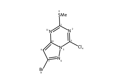 CSc1nc(Cl)n2nc(Br)cc2n1